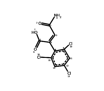 NC(=O)/C=C(\C(=O)O)c1c(Cl)cc(Cl)cc1Cl